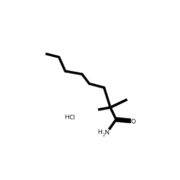 CCCCCCC(C)(C)C(N)=O.Cl